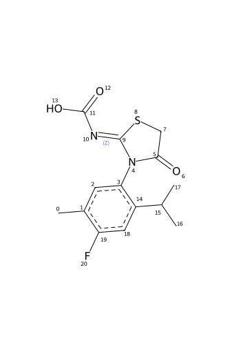 Cc1cc(N2C(=O)CS/C2=N\C(=O)O)c(C(C)C)cc1F